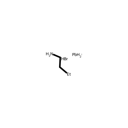 Br.CCCCN.[PbH2]